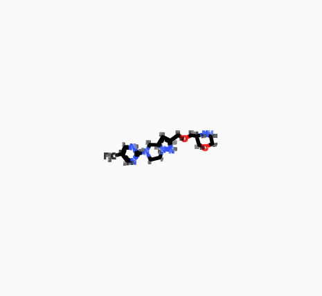 FC(F)(F)c1cnc(N2CCn3nc(COCC4COCCN4)cc3C2)nc1